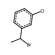 CC(Br)c1cccc(Cl)c1